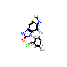 O=c1[nH]c2cc3scnc3c(F)c2n1-c1ccc(Br)cc1Cl